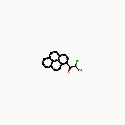 CC(Br)C(=O)c1ccc2ccc3cccc4ccc1c2c34